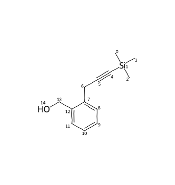 C[Si](C)(C)C#CCc1ccccc1CO